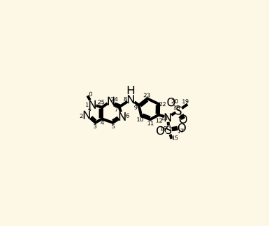 Cn1ncc2cnc(Nc3ccc(N(S(C)(=O)=O)S(C)(=O)=O)cc3)nc21